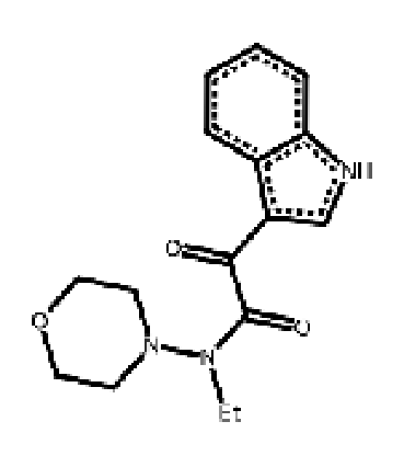 CCN(C(=O)C(=O)c1c[nH]c2ccccc12)N1CCOCC1